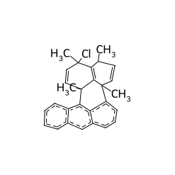 CC1C=CC2(C)C3=C1C(C)(Cl)C=CC3(C)c1c3ccccc3cc3cccc2c13